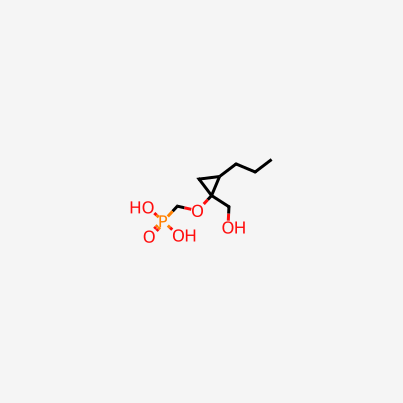 CCCC1CC1(CO)OCP(=O)(O)O